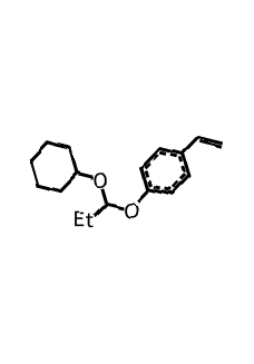 C=Cc1ccc(OC(CC)OC2CCCCC2)cc1